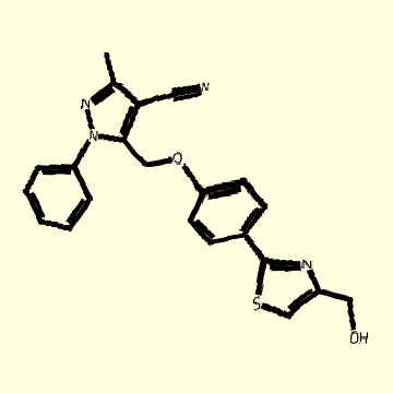 Cc1nn(-c2ccccc2)c(COc2ccc(-c3nc(CO)cs3)cc2)c1C#N